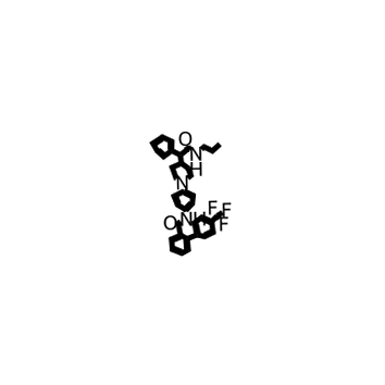 CCCNC(=O)C(c1ccccc1)C1CCN(c2ccc(NC(=O)c3ccccc3-c3ccc(C(F)(F)F)cc3)cc2)CC1